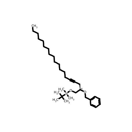 CCCCCCCCCCCCCCC#CC[C@H](CO[Si](C)(C)C(C)(C)C)OCc1ccccc1